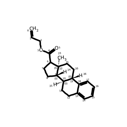 C=CCOC(=O)C1CC[C@H]2[C@@H]3CCc4ccccc4[C@H]3CC[C@]12C